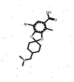 Cc1c(C(=O)O)cc(Br)c2c1OC1(CCC(CN(C)C)CC1)O2